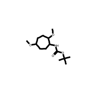 COC1CCC(NC(=O)OC(C)(C)C)C(OC)CC1